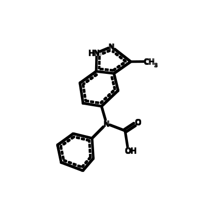 Cc1n[nH]c2ccc(N(C(=O)O)c3ccccc3)cc12